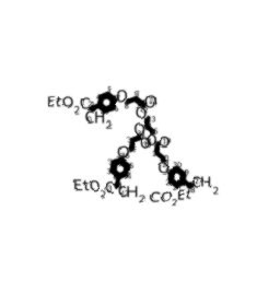 C=C(C(=O)OCC)c1ccc(OCCC(=O)OCC(COC(=O)CCOc2ccc(C(=C)C(=O)OCC)cc2)OC(=O)CCOc2ccc(C(=C)C(=O)OCC)cc2)cc1